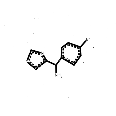 NC(c1ccc(Br)cc1)c1cs[c]n1